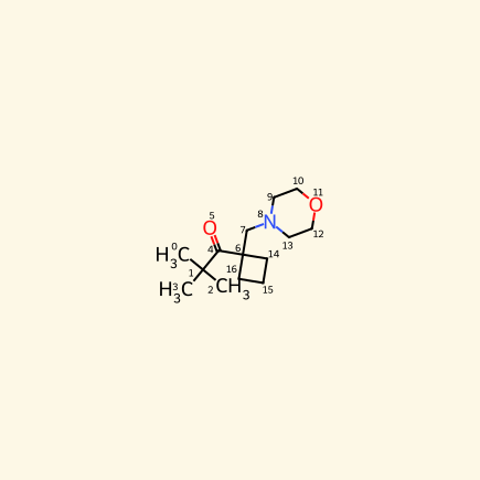 CC(C)(C)C(=O)C1(CN2CCOCC2)CCC1